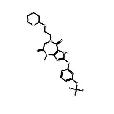 CN1C(=O)CN(CCOC2CCCCO2)C(=O)c2[nH]c(Oc3cccc(OC(F)(F)F)c3)nc21